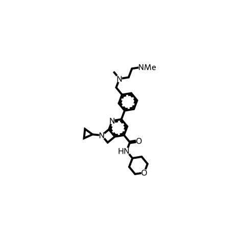 CNCCN(C)Cc1cccc(-c2cc(C(=O)NC3CCOCC3)c3c(n2)N(C2CC2)C3)c1